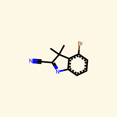 CC1(C)C(C#N)=Nc2cccc(Br)c21